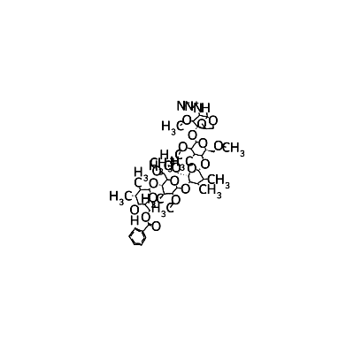 COCC1O[C@@H](O[C@H]2C(C)C(C)[C@@H](O[C@H]3C(C)C(OC)[C@H](O[C@H]4C5CO[C@H](O5)C(N=[N+]=[N-])[C@@H]4OC)O[C@H]3COC)O[C@H]2COC)C(OC)[C@@H](C)[C@@H]1O[C@@H]1OC(COC(=O)c2ccccc2)[C@@H](O)[C@H](C)C1C